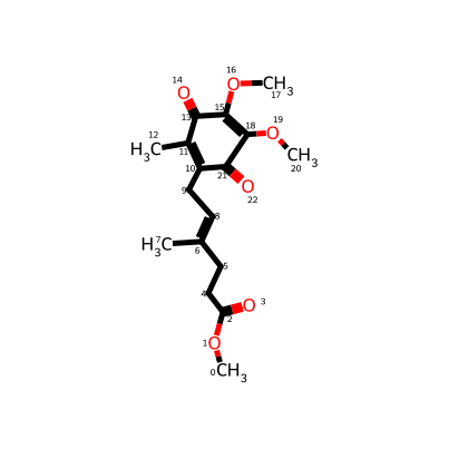 COC(=O)CC/C(C)=C/CC1=C(C)C(=O)C(OC)=C(OC)C1=O